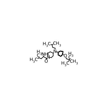 CC(C)CCN(c1ccc(OCC(C)(C)C)cc1)C1CCN(C(=O)C(N)CC(C)C)CC1